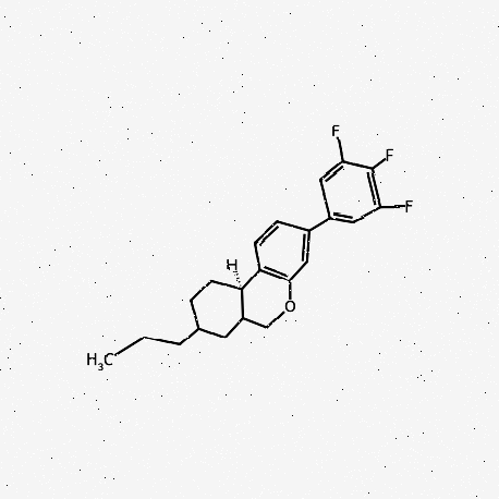 CCCC1CC[C@H]2c3ccc(-c4cc(F)c(F)c(F)c4)cc3OCC2C1